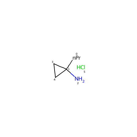 CCCC1(N)CC1.Cl